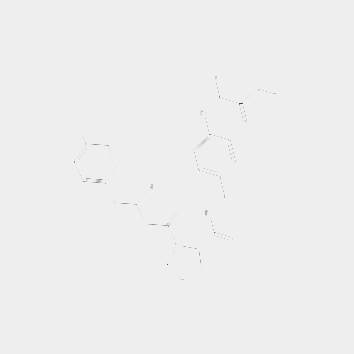 CCNC(=O)C(Nc1ccc(CNC(=O)[C@@H]2SCCN2C(=O)CC(N)Cc2cc(F)c(F)cc2F)cc1)C(C)C